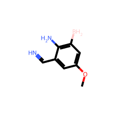 Bc1cc(OC)cc(C=N)c1N